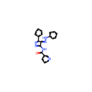 O=C(NC1=NN=C(c2ccccc2)/C1=N\Nc1ccccc1)c1cccnc1